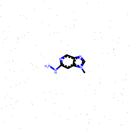 Cn1cnc2cnc(NN)cc21